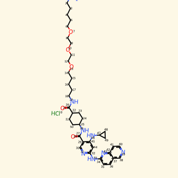 Cl.NCCCCCOCCOCCOCCCCCNC(=O)C1CCC(NC(=O)c2cnc(Nc3ccc4cnccc4n3)cc2NC2CC2)CC1